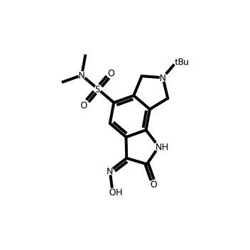 CN(C)S(=O)(=O)c1cc2c(c3c1CN(C(C)(C)C)C3)NC(=O)/C2=N\O